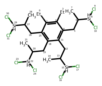 CCc1c(CC)c(CC(C)[SiH](Cl)Cl)c(CC(C)[SiH](Cl)Cl)c(CC(C)[SiH](Cl)Cl)c1CC(C)[SiH](Cl)Cl